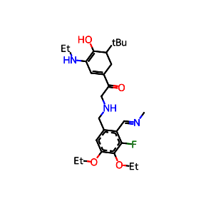 CCNC1=C(O)C(C(C)(C)C)CC(C(=O)CNCc2cc(OCC)c(OCC)c(F)c2/C=N/C)=C1